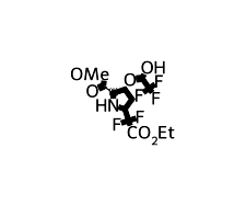 CCOC(=O)C(F)(F)C1CC[C@@H](C(=O)OC)N1.O=C(O)C(F)(F)F